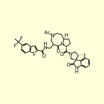 CC(=O)N1CC[C@H]2CC[C@@H](C(=O)N3C[C@H](C)[C@@]4(C3)C(=O)Nc3cccc(C)c34)N2C(=O)C(CNC(=O)c2cc3cc(C(C)(F)F)ccc3s2)C1